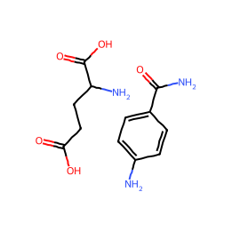 NC(=O)c1ccc(N)cc1.NC(CCC(=O)O)C(=O)O